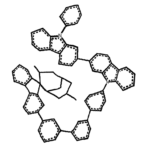 CC1CC2CC(C)C3(c4ccccc4-c4ccc(-c5cccc(-c6cccc(-c7ccc(-n8c9ccccc9c9ccc(-c%10ccc%11c%12ccccc%12n(-c%12ccccc%12)c%11c%10)cc98)cc7)c6)c5)cc43)C(C1)C2